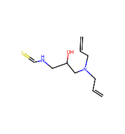 C=CCN(CC=C)CC(O)CNC=S